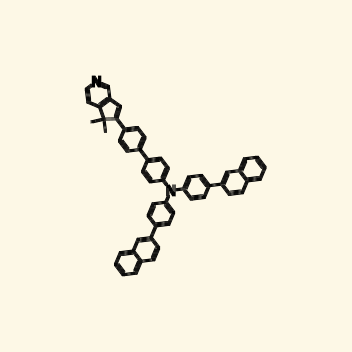 CC1(C)C(c2ccc(-c3ccc(N(c4ccc(-c5ccc6ccccc6c5)cc4)c4ccc(-c5ccc6ccccc6c5)cc4)cc3)cc2)=Cc2cnccc21